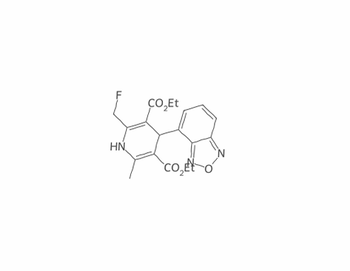 CCOC(=O)C1=C(C)NC(CF)=C(C(=O)OCC)C1c1cccc2nonc12